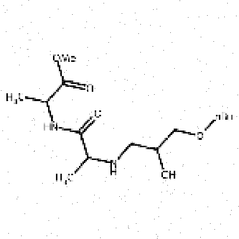 CCCCOCC(O)CNC(C)C(=O)NC(C)C(=O)OC